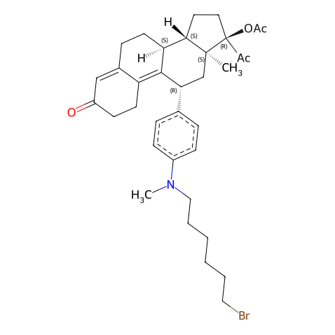 CC(=O)O[C@]1(C(C)=O)CC[C@H]2[C@@H]3CCC4=CC(=O)CCC4=C3[C@@H](c3ccc(N(C)CCCCCCBr)cc3)C[C@@]21C